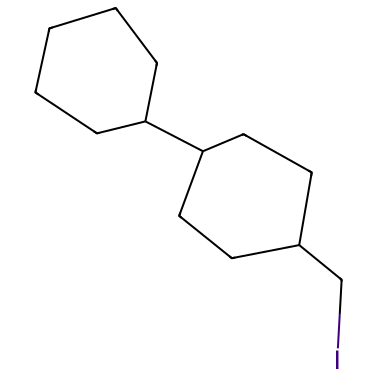 ICC1CCC(C2CCCCC2)CC1